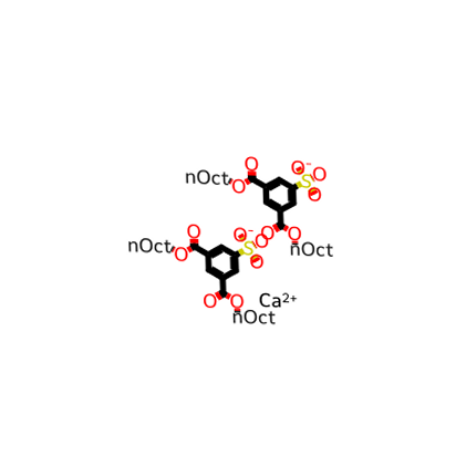 CCCCCCCCOC(=O)c1cc(C(=O)OCCCCCCCC)cc(S(=O)(=O)[O-])c1.CCCCCCCCOC(=O)c1cc(C(=O)OCCCCCCCC)cc(S(=O)(=O)[O-])c1.[Ca+2]